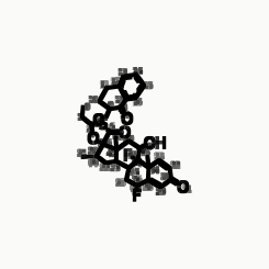 CCC(=O)O[C@]1(C(=O)SC2CCc3ccccc3C2=O)[C@H](C)CC2C3C[C@H](F)C4=CC(=O)C=CC4(C)[C@@]3(F)C(O)CC21C